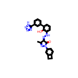 CC1=NN(c2ccc3c(c2)CC3)C(=O)C1=NNc1cccc(-c2cccc(-c3nnn[nH]3)c2)c1O